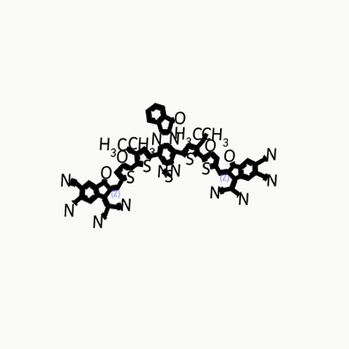 CC1(C)Oc2cc(/C=C3\C(=O)c4cc(C#N)c(C#N)cc4C3=C(C#N)C#N)sc2-c2sc(-c3c4nsnc4c(-c4cc5c(s4)-c4sc(/C=C6\C(=O)c7cc(C#N)c(C#N)cc7C6=C(C#N)C#N)cc4OC5(C)C)c4nc5c(nc34)C(=O)c3ccccc3-5)cc21